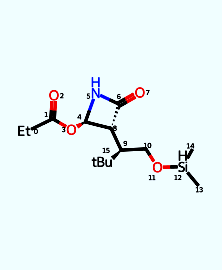 CCC(=O)O[C@H]1NC(=O)[C@@H]1[C@@H](CO[SiH](C)C)C(C)(C)C